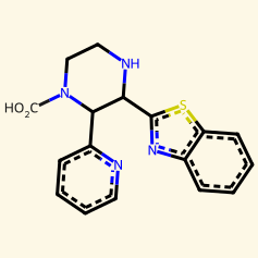 O=C(O)N1CCNC(c2nc3ccccc3s2)C1c1ccccn1